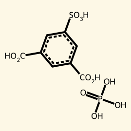 O=C(O)c1cc(C(=O)O)cc(S(=O)(=O)O)c1.O=P(O)(O)O